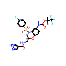 CC(C)(OC(=O)Nc1ccc2c(c1)N(S(=O)(=O)c1ccc(F)cc1)C[C@H](CNC(=O)c1cn[nH]c1)O2)C(F)(F)F